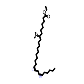 CCCCC/C=C\C/C=C\CCCCCCCCCC(CCCCCCC(=O)OCC)N(C)C